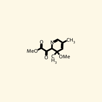 COC(=O)C(=O)C1N=CC(C)=CC1(C)OC